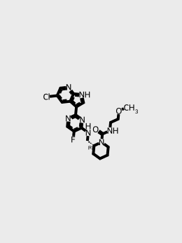 COCCNC(=O)N1CCCC[C@@H]1CNc1nc(-c2c[nH]c3ncc(Cl)cc23)ncc1F